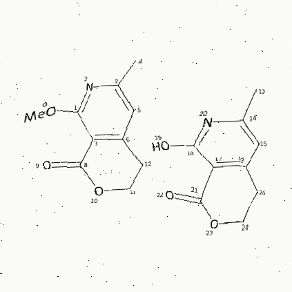 COc1nc(C)cc2c1C(=O)OCC2.Cc1cc2c(c(O)n1)C(=O)OCC2